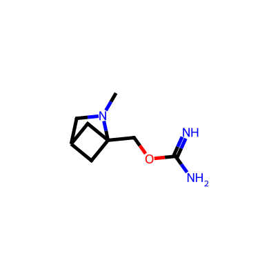 CN1CC2CC1(COC(=N)N)C2